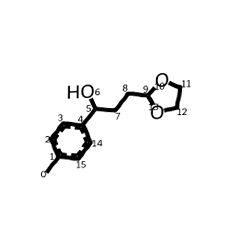 Cc1ccc(C(O)CCC2OCCO2)cc1